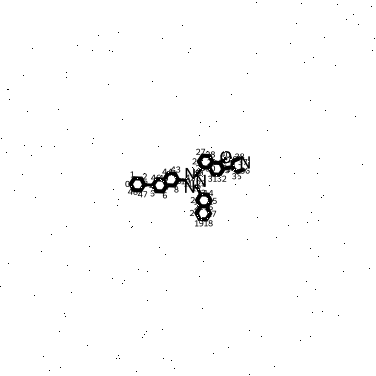 c1ccc(-c2ccc3cc(-c4nc(-c5ccc6ccccc6c5)nc(-c5cccc6c5ccc5c7ccncc7oc65)n4)ccc3c2)cc1